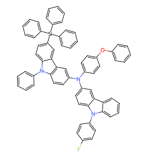 Fc1ccc(-n2c3ccccc3c3cc(N(c4ccc(Oc5ccccc5)cc4)c4ccc5c(c4)c4cc([Si](c6ccccc6)(c6ccccc6)c6ccccc6)ccc4n5-c4ccccc4)ccc32)cc1